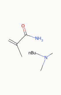 C=C(C)C(N)=O.CCCCN(C)C